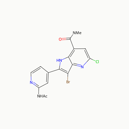 CNC(=O)c1cc(Cl)nc2c(Br)c(-c3ccnc(NC(C)=O)c3)[nH]c12